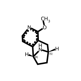 COc1nccc2c1C[C@@H]1CC[C@H]2N1